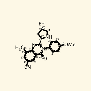 COc1ccc(-n2c([C@H]3C[C@H](F)CN3)nc3c(C)cc(C#N)cc3c2=O)cc1